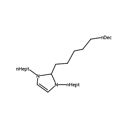 CCCCCCCCCCCCCCCC1N(CCCCCCC)C=CN1CCCCCCC